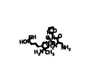 C[C@]1(N)CN(S(=O)(=O)N(C(=O)C(N)CN)c2ncco2)C[C@@H]1CCCB(O)O